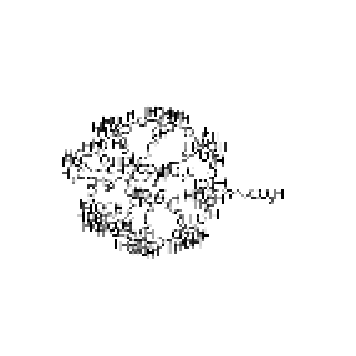 CC(CC(=O)O)SC(C)[C@@]1(C)O[C@@H]2O[C@]3(C)[C@@](C)(CSCC(C)C(=O)O)O[C@H](O[C@H]4[C@H](O)[C@@H](O)[C@@H](O[C@H]5[C@H](O)[C@@H](O)[C@@H](O[C@H]6[C@H](O)[C@@H](O)[C@@H](O[C@H]7[C@H](O)[C@@H](O)[C@@H](O[C@H]8[C@H](O)[C@@H](O)[C@@H](O[C@H]9[C@H](O)[C@@H](O)[C@H](O[C@@H]9CSCCC(=O)O)O[C@H]1[C@H](O)[C@H]2O)O[C@@H]8CSCCC(=O)O)O[C@@H]7CSCCC(=O)O)O[C@@H]6CSCCC(=O)O)O[C@@H]5CSCCC(=O)O)O[C@@H]4CSCCC(=O)O)[C@H](O)[C@@]3(C)O